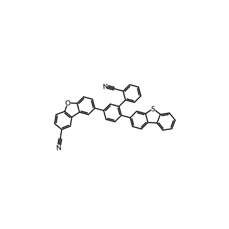 N#Cc1ccc2oc3ccc(-c4ccc(-c5ccc6c(c5)sc5ccccc56)c(-c5ccccc5C#N)c4)cc3c2c1